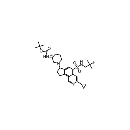 CC(C)(F)CNS(=O)(=O)c1cc2c(c3cnc(C4CC4)cc13)CCC2N1CCC[C@@H](NC(=O)OC(C)(C)C)C1